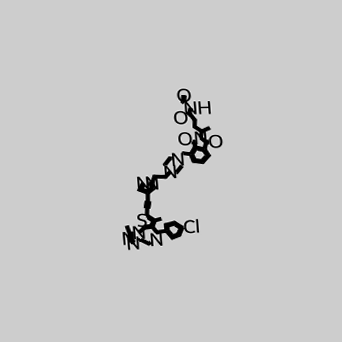 Cc1c(C#Cc2cnn(CCN3CCN(Cc4cccc5c4C(=O)N(C(C)CCC(=O)NC=O)C5=O)CC3)c2)sc2c1C(c1ccc(Cl)cc1)=NCc1nnc(C)n1-2